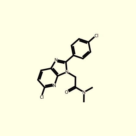 CN(C)C(=O)Cn1c(-c2ccc(Cl)cc2)nc2ccc(Cl)nc21